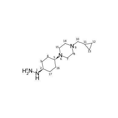 NN[C@H]1CC[C@@H](N2CCN(CC3CC3)CC2)CC1